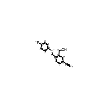 N#Cc1ccc(COc2ccc(F)cc2)c(CO)c1